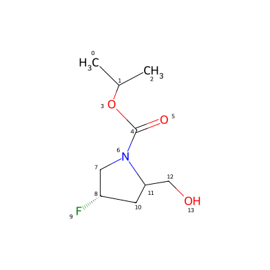 CC(C)OC(=O)N1C[C@@H](F)CC1CO